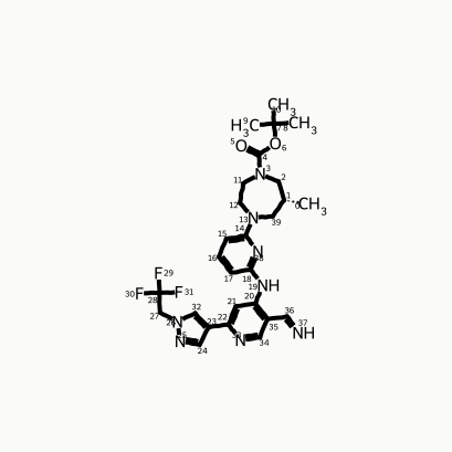 C[C@H]1CN(C(=O)OC(C)(C)C)CCN(c2cccc(Nc3cc(-c4cnn(CC(F)(F)F)c4)ncc3C=N)n2)C1